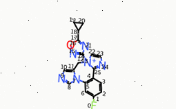 Fc1ccc2c(c1)-n1cncc1C[N+]1(c3noc(C4CC4)n3)C=CN=C21